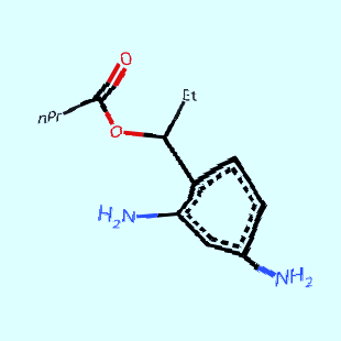 CCCC(=O)OC(CC)c1ccc(N)cc1N